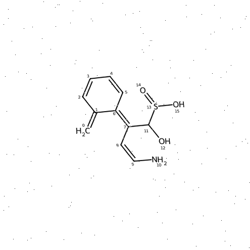 C=c1cccc/c1=C(/C=C\N)C(O)S(=O)O